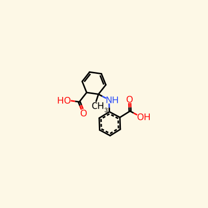 CC1(Nc2ccccc2C(=O)O)C=CC=CC1C(=O)O